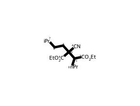 CCCC(C(=O)OCC)C(C#N)(CCC(C)C)C(=O)OCC